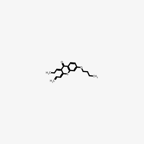 C=C/C=c1/sc2cc(OCCCC)ccc2c(=O)/c1=C/CC